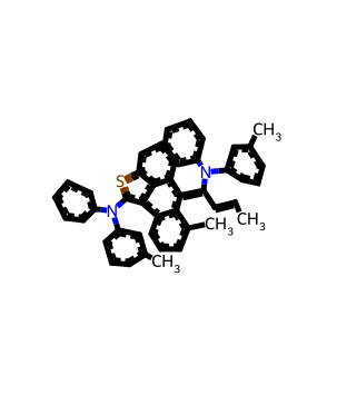 C/C=C/C(=c1/c2cccc3sc(N(c4ccccc4)c4cccc(C)c4)c(c4cccc(C)c14)c32)N(c1ccccc1)c1cccc(C)c1